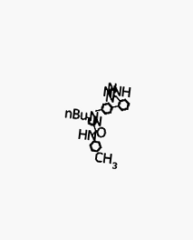 CCCCc1cc(C(=O)Nc2ccc(C)cc2)nn1Cc1ccc(-c2ccccc2-c2nnn[nH]2)cc1